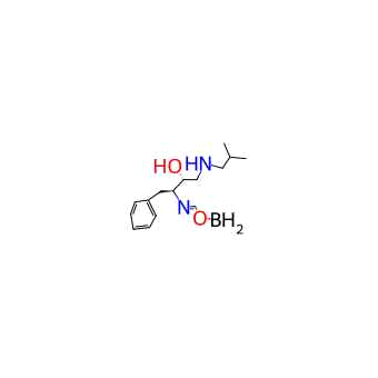 BOC=N[C@@H](Cc1ccccc1)[C@H](O)CNCC(C)C